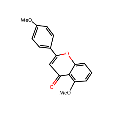 COc1ccc(-c2cc(=O)c3c(OC)cccc3o2)cc1